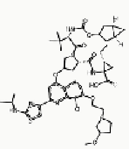 CC[C@@H]1C[C@]1(NC(=O)[C@@H]1C[C@@H](Oc2cc(-c3csc(NC(C)C)n3)nc3c(Cl)c(OCCN4CC[C@@H](OC)C4)ccc23)CN1C(=O)[C@@H](NC(=O)O[C@@H]1C[C@@H]2C[C@@H]2C1)C(C)(C)C)C(=O)O